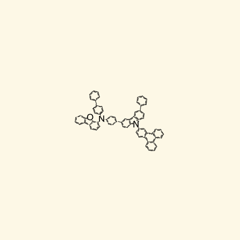 c1ccc(-c2ccc(N(c3ccc(-c4ccc5c(c4)c4cc(-c6ccccc6)ccc4n5-c4ccc5c6ccccc6c6ccccc6c5c4)cc3)c3cccc4c3oc3ccccc34)cc2)cc1